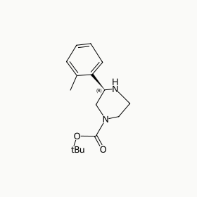 Cc1ccccc1[C@@H]1CN(C(=O)OC(C)(C)C)CCN1